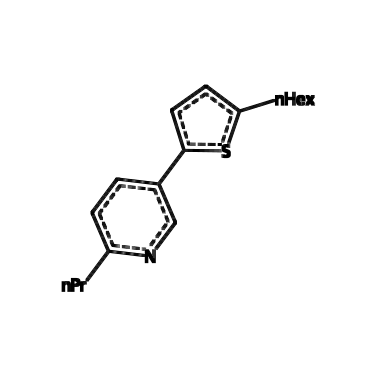 CCCCCCc1ccc(-c2ccc(CCC)nc2)s1